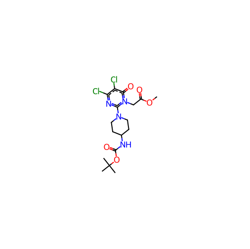 COC(=O)Cn1c(N2CCC(NC(=O)OC(C)(C)C)CC2)nc(Cl)c(Cl)c1=O